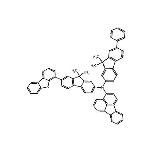 CC1(C)c2cc(-c3ccccc3)ccc2-c2ccc(N(c3ccc4c(c3)C(C)(C)c3cc(-c5cccc6c5sc5ccccc56)ccc3-4)c3ccc4c5c(cccc35)-c3ccccc3-4)cc21